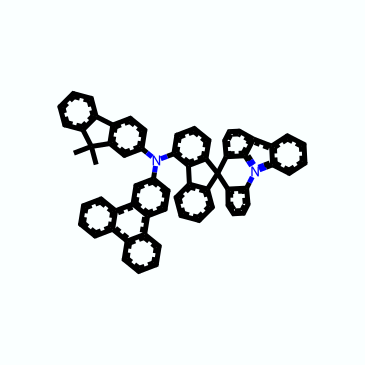 CC1(C)c2ccccc2-c2ccc(N(c3ccc4c5ccccc5c5ccccc5c4c3)c3cccc4c3-c3ccccc3C43c4ccccc4-n4c5ccccc5c5cccc3c54)cc21